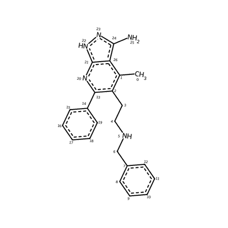 Cc1c(CCNCc2ccccc2)c(-c2ccccc2)nc2[nH]nc(N)c12